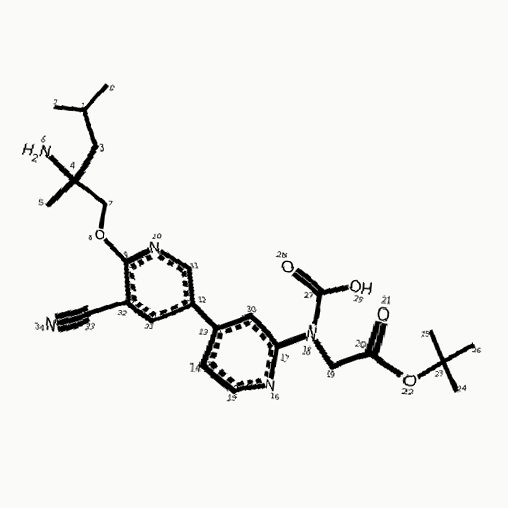 CC(C)CC(C)(N)COc1ncc(-c2ccnc(N(CC(=O)OC(C)(C)C)C(=O)O)c2)cc1C#N